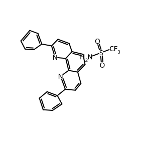 NS(=O)(=O)C(F)(F)F.c1ccc(-c2ccc3ccc4ccc(-c5ccccc5)nc4c3n2)cc1